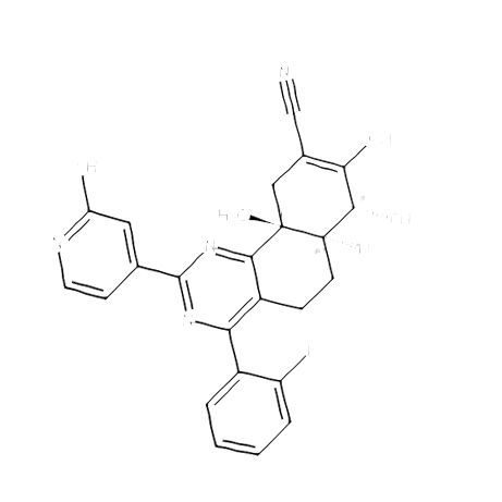 Cc1cc(-c2nc(-c3ccccc3F)c3c(n2)[C@]2(C)CC(C#N)=C(O)[C@H](C)[C@H]2CC3)ccn1